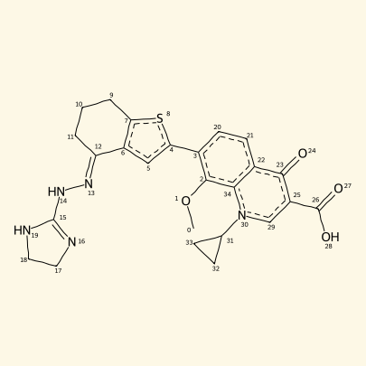 COc1c(-c2cc3c(s2)CCCC3=NNC2=NCCN2)ccc2c(=O)c(C(=O)O)cn(C3CC3)c12